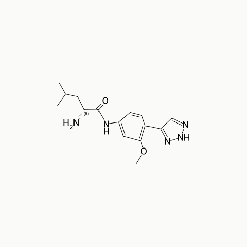 COc1cc(NC(=O)[C@H](N)CC(C)C)ccc1-c1cn[nH]n1